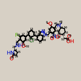 COc1cc(Cn2ncc3c(-c4cccc(-c5cc(F)c(CNC[C@@H]6CCC(=O)N6)c(OC)c5)c4Cl)cccc32)c([N+](=O)[O-])cc1CN(C)[C@H]1CC[C@H](CC(=O)O)CC1